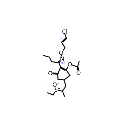 CCC/C(=N\OC/C=C/Cl)C1=C(OC(C)=O)CC(CC(C)[S+]([O-])CC)CC1=O